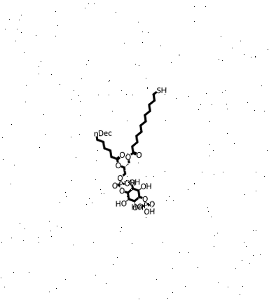 CCCCCCCCCCCCCCCC(=O)O[C@H](COC(=O)CCCCCCCCCCCS)COP(=O)(O)OC1C(O)[C@H](O)C(OP(=O)(O)O)[C@H](O)[C@@H]1O